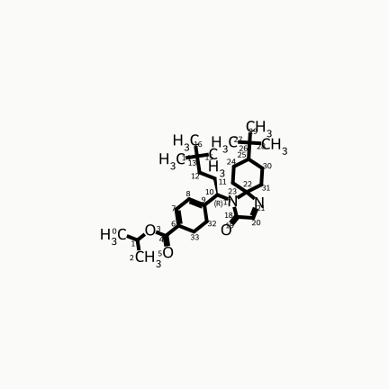 CC(C)OC(=O)C1=CC=C([C@@H](CCC(C)(C)C)N2C(=O)C=NC23CCC(C(C)(C)C)CC3)CC1